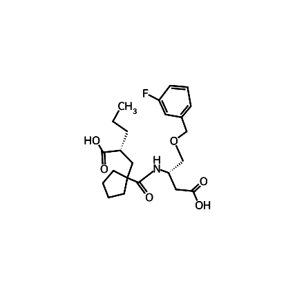 CCC[C@H](CC1(C(=O)N[C@H](COCc2cccc(F)c2)CC(=O)O)CCCC1)C(=O)O